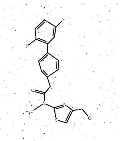 CN(C(=O)Cc1ccc(-c2cc(F)ccc2F)cc1)c1nc(CO)cs1